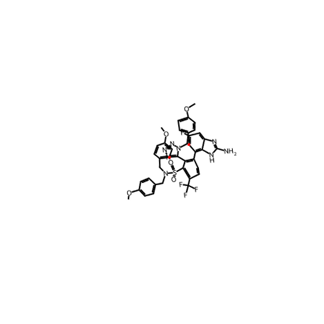 COc1ccc(CN(Cc2ccc(OC)cc2)S(=O)(=O)c2c(C(F)(F)F)ccc(-c3cc(F)cc4nc(N)[nH]c34)c2-c2nnnn2Cc2ccc(OC)cc2)cc1